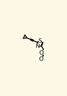 O=COCc1csc(C#CC2CC2)n1